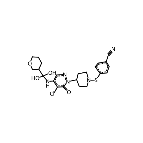 N#Cc1ccc(SN2CCC(n3ncc(NC(O)(O)C4CCCOC4)c(Cl)c3=O)CC2)cc1